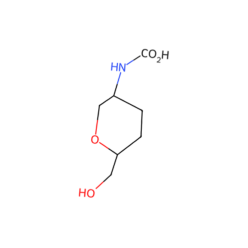 O=C(O)NC1CCC(CO)OC1